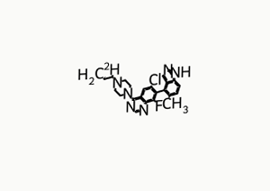 [2H]C(C=C)N1CCN(c2ncnc3c(F)c(-c4c(C)ccc5[nH]ncc45)c(Cl)cc23)CC1